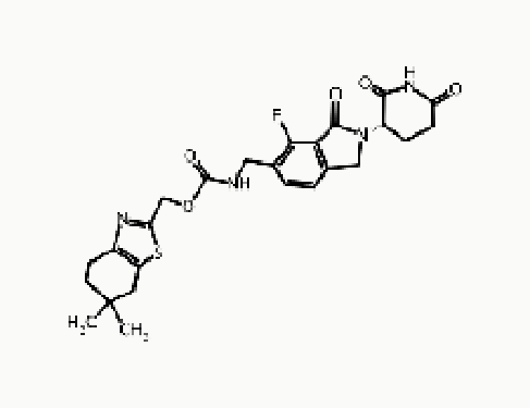 CC1(C)CCc2nc(COC(=O)NCc3ccc4c(c3F)C(=O)N([C@H]3CCC(=O)NC3=O)C4)sc2C1